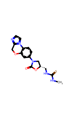 CNC(=S)NC[C@H]1CN(c2ccc3c(c2)OCc2nccn2-3)C(=O)O1